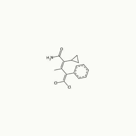 CC(C(=C(Cl)Cl)c1ccccc1)=C(C(N)=O)C1CC1